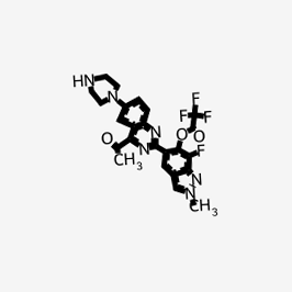 CC(=O)c1nc(-c2cc3cn(C)nc3c(F)c2OC(=O)C(F)(F)F)nc2ccc(N3CCNCC3)cc12